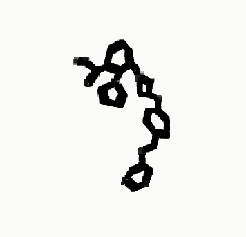 O=C(O)c1cccc(N2CC(Oc3ccc(COc4cncnc4)cc3)C2)c1-n1cccc1